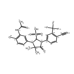 CC(=O)Nc1cc(N2C(S(=O)(=O)O)N(c3ccc(C#N)c(C(F)(F)F)c3)C(=O)C2(C)C)ccc1Cl